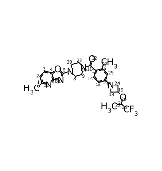 Cc1ccc2oc(N3CCN(C(=O)c4ccc(N5CC(OC(C)C(F)(F)F)C5)cc4C)CC3)nc2n1